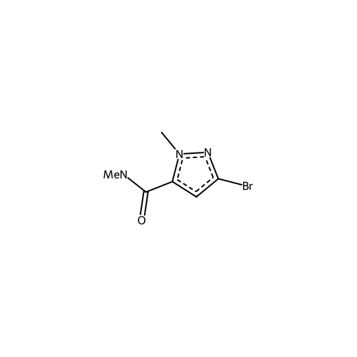 CNC(=O)c1cc(Br)nn1C